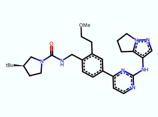 COCCc1cc(-c2ccnc(Nc3cnn4c3CCC4)n2)ccc1CNC(=O)N1CC[C@@H](C(C)(C)C)C1